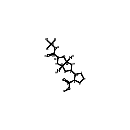 COC(=O)[C@@H]1CCCN1C1C[C@@H]2CN(C(=O)OC(C)(C)C)C[C@@H]2C1